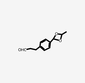 CC1OC(c2ccc(CCC=O)cc2)O1